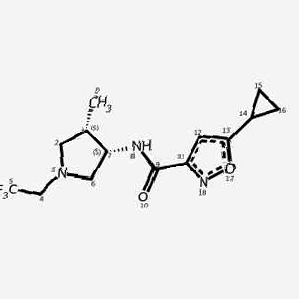 C[C@H]1CN(CC(F)(F)F)C[C@H]1NC(=O)c1cc(C2CC2)on1